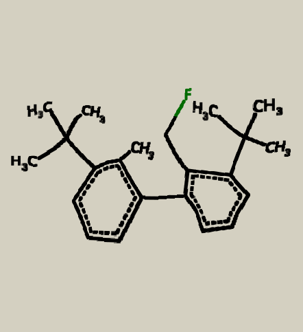 Cc1c(-c2cccc(C(C)(C)C)c2CF)cccc1C(C)(C)C